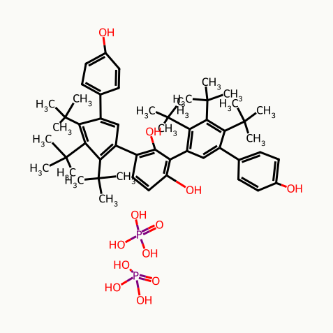 CC(C)(C)c1c(-c2ccc(O)cc2)cc(-c2ccc(O)c(-c3cc(-c4ccc(O)cc4)c(C(C)(C)C)c(C(C)(C)C)c3C(C)(C)C)c2O)c(C(C)(C)C)c1C(C)(C)C.O=P(O)(O)O.O=P(O)(O)O